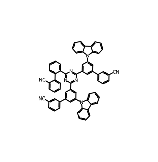 N#Cc1cccc(-c2cc(-c3nc(-c4cc(-c5cccc(C#N)c5)cc(-n5c6ccccc6c6ccccc65)c4)nc(-c4ccccc4-c4ccccc4C#N)n3)cc(-n3c4ccccc4c4ccccc43)c2)c1